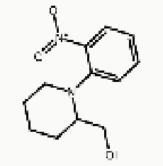 O=[N+]([O-])c1ccccc1N1CCCCC1CO